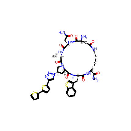 CC[C@H](C)[C@@H]1NC(=O)[C@H](CC(N)=O)NC(=O)[C@@H](N)CC(=O)NCCCC[C@@H](C(N)=O)NC(=O)[C@H](Cc2csc3ccccc23)NC(=O)[C@@H]2C[C@H](n3cc(-c4ccc(-c5cccs5)s4)nn3)CN2C1=O